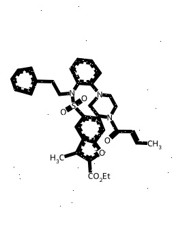 C/C=C/C(=O)N1CCN(c2ccccc2N(CCc2ccccc2)S(=O)(=O)c2ccc3oc(C(=O)OCC)c(C)c3c2)CC1